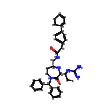 CCC(NC(=N)N)[C@H]1N[C@@H](CNC(=O)Cc2ccc(-c3ccccc3)cc2)CCN(C(c2ccccc2)c2ccccc2)C1=O